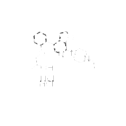 CCN1CCN(c2ncc(-c3ccccc3OCC(C)O)c3ccoc23)CC1.Cl.Cl